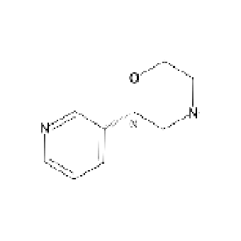 c1cncc([C@H]2C[N]CCO2)c1